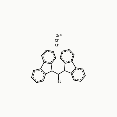 CCC(C1c2ccccc2-c2ccccc21)C1c2ccccc2-c2ccccc21.[Cl-].[Cl-].[Zr+2]